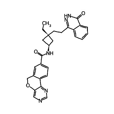 CC[C@]1(CCc2n[nH]c(=O)c3ccccc23)C[C@H](NC(=O)c2ccc3c(c2)COc2cncnc2-3)C1